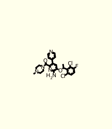 CC(Oc1cc(-c2ccncc2)c(C(=O)N2CCN(C)CC2)nc1N)c1c(Cl)ccc(F)c1Cl